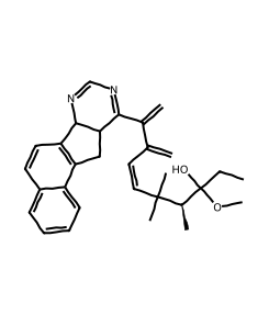 C=C(/C=C\C(C)(C)[C@H](C)C(O)(CC)OC)C(=C)C1=NC=NC2c3ccc4ccccc4c3CC12